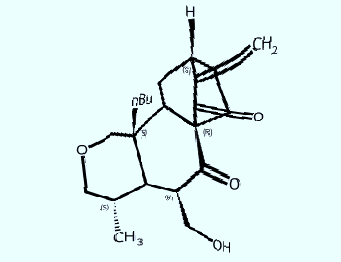 C=C1C(=O)[C@]23CC[C@H]1CC2[C@@]1(CCCC)COC[C@@H](C)C1[C@H](CO)C3=O